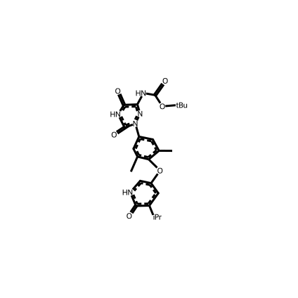 Cc1cc(-n2nc(NC(=O)OC(C)(C)C)c(=O)[nH]c2=O)cc(C)c1Oc1c[nH]c(=O)c(C(C)C)c1